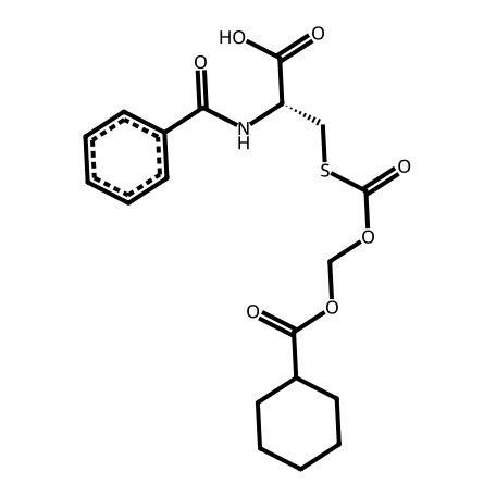 O=C(OCOC(=O)C1CCCCC1)SC[C@H](NC(=O)c1ccccc1)C(=O)O